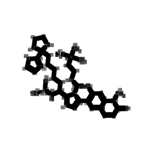 COc1cc2c(ccc(=O)n2C)cc1-c1cnc(C(CCCCCC2(c3ncco3)OCCO2)N[S@@+]([O-])C(C)(C)C)n1COCC[Si](C)(C)C